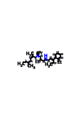 C=C/C(C)=C\C=C(\C)CN(CCC)CC(CC)CNC/C=C(\C=C)c1ccccc1CC